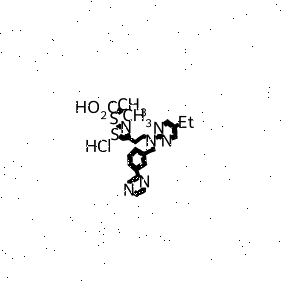 CCc1cnc(N(CCc2csc(SC(C)(C)C(=O)O)n2)Cc2cccc(-c3cnccn3)c2)nc1.Cl